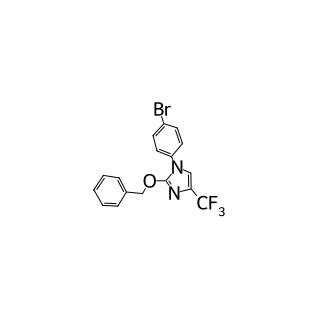 FC(F)(F)c1cn(-c2ccc(Br)cc2)c(OCc2ccccc2)n1